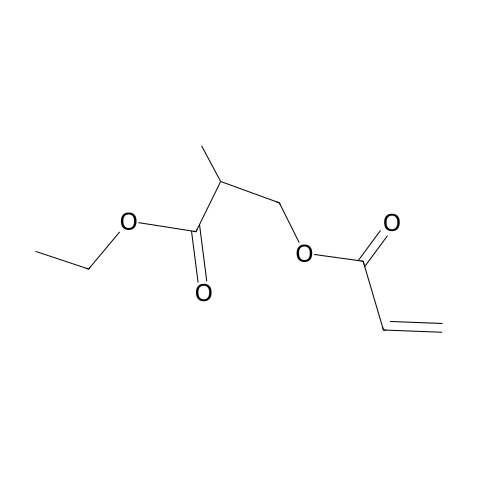 C=CC(=O)OCC(C)C(=O)OCC